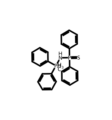 C[PH](NP(=S)(c1ccccc1)c1ccccc1)(c1ccccc1)c1ccccc1